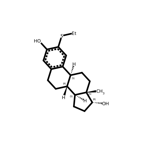 CCSc1cc2c(cc1O)CC[C@@H]1[C@@H]2CC[C@]2(C)[C@H](O)CC[C@@H]12